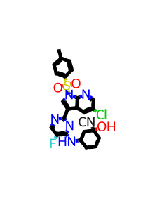 Cc1ccc(S(=O)(=O)N2C=C(c3ncc(F)c(NC4CCCC(O)(C#N)C4)n3)C3C=C(Cl)C=NC32)cc1